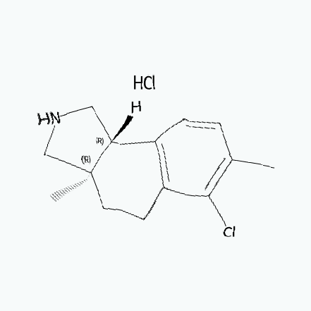 Cc1ccc2c(c1Cl)CC[C@@]1(C)CNC[C@H]21.Cl